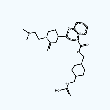 CN(C)CCN1CCN(c2cc(C(=O)NCC3CCC(CNC(=O)O)CC3)c3ccccc3n2)CC1=O